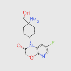 NC1(CO)CCC(N2C(=O)COc3ncc(F)cc32)CC1